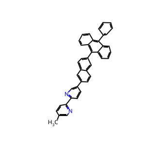 Cc1ccc(-c2ccc(-c3ccc4cc(-c5c6ccccc6c(-c6ccccc6)c6ccccc56)ccc4c3)cn2)nc1